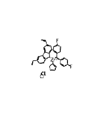 C=Cc1ccc2c(c1)-c1cc(C=C)ccc1[CH]2[Zr+2]([C]1=CC=CC1)=[C](c1ccc(F)cc1)c1ccc(F)cc1.[Cl-].[Cl-]